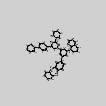 c1ccc(-c2ccc(-c3cc(-c4cc(-c5ccc6c(c5)Oc5ccccc5O6)cc(-c5cccc6cccnc56)c4)nc(-c4ccccc4)n3)cc2)cc1